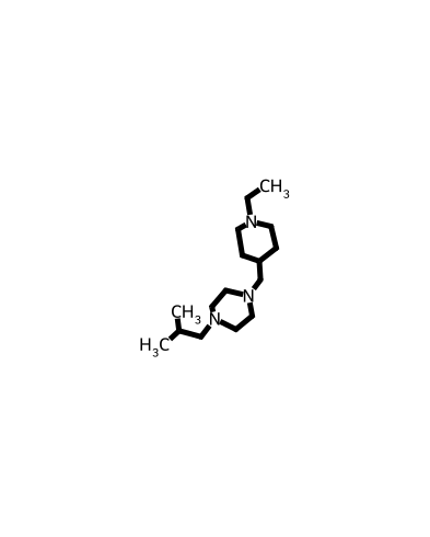 CCN1CCC(CN2CCN(CC(C)C)CC2)CC1